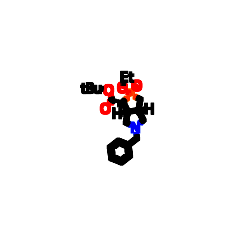 CCOP1(=O)C[C@@H]2CN(Cc3ccccc3)C[C@@H]2[C@@H]1C(=O)OC(C)(C)C